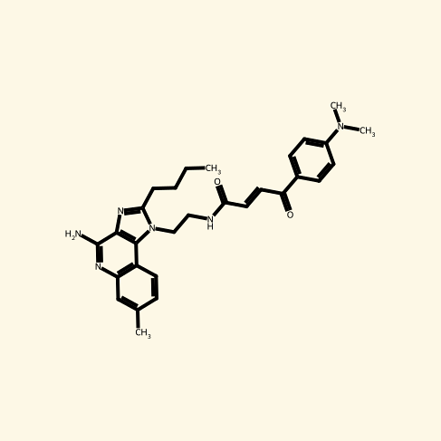 CCCCc1nc2c(N)nc3cc(C)ccc3c2n1CCNC(=O)/C=C/C(=O)c1ccc(N(C)C)cc1